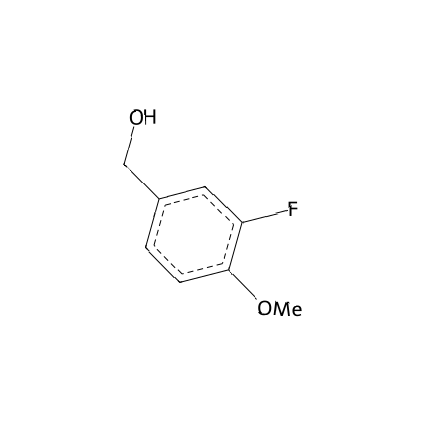 COc1ccc(CO)cc1F